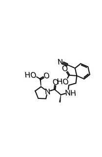 C[C@H](NCCC1(C(=O)O)C=CC=CC1C#N)C(=O)N1CCC[C@H]1C(=O)O